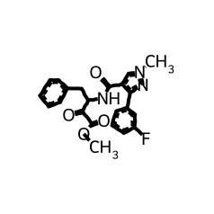 COC(=O)C(=O)C(Cc1ccccc1)NC(=O)c1cn(C)nc1-c1cccc(F)c1